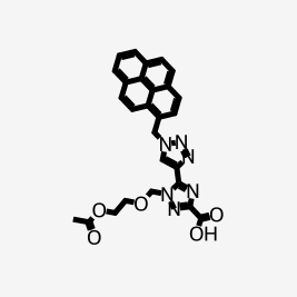 CC(=O)OCCOCn1nc(C(=O)O)nc1-c1cn(Cc2ccc3ccc4cccc5ccc2c3c45)nn1